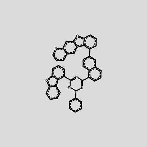 c1ccc(C2N=C(c3cccc4cc(-c5cccc6oc7cc8ncccc8cc7c56)ccc34)N=C(c3cccc4oc5ccccc5c34)N2)cc1